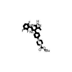 Cc1n[nH]c2c1C(c1ccc(N3CCN(C(=O)OC(C)(C)C)CC3)cc1)C(C#N)=C(c1c(F)ccc(F)c1F)N2